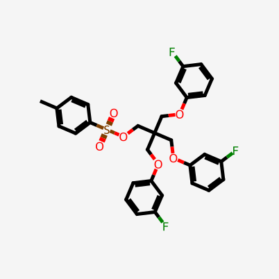 Cc1ccc(S(=O)(=O)OCC(COc2cccc(F)c2)(COc2cccc(F)c2)COc2cccc(F)c2)cc1